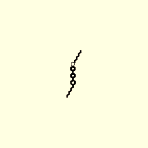 CCCCCCCCOc1ccc(-c2ccc(C3=CCC(CCCCCCC)CC3)cc2)cc1